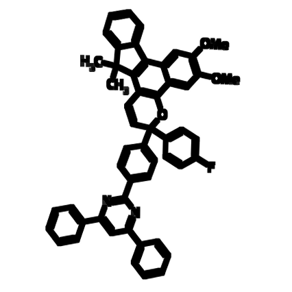 COc1cc2c3c(c4c(c2cc1OC)-c1ccccc1C4(C)C)C=CC(c1ccc(F)cc1)(c1ccc(-c2nc(-c4ccccc4)cc(-c4ccccc4)n2)cc1)O3